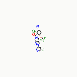 N#Cc1ccc(OCC(F)(F)F)c(C(=O)N2Cc3cn(-c4cncc(F)c4)nc3C2)c1Cl